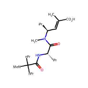 CCCC(CCC)(NC)C(=O)N[C@H](C(=O)N(C)[C@H](/C=C(\C)C(=O)O)C(C)C)C(C)C